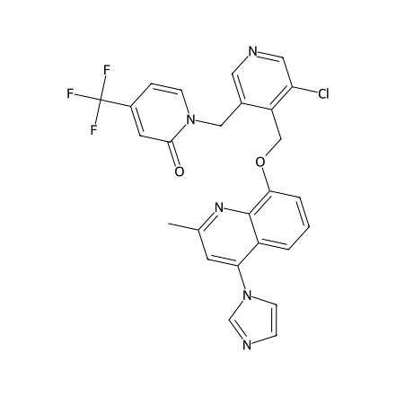 Cc1cc(-n2ccnc2)c2cccc(OCc3c(Cl)cncc3Cn3ccc(C(F)(F)F)cc3=O)c2n1